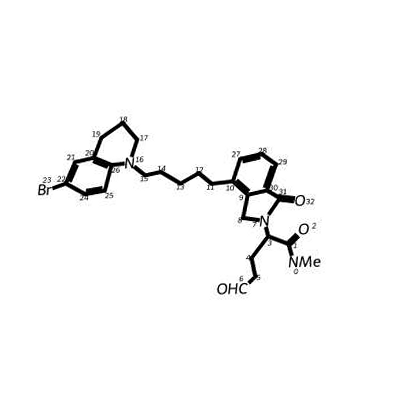 CNC(=O)C(CCC=O)N1Cc2c(CCCCCN3CCCc4cc(Br)ccc43)cccc2C1=O